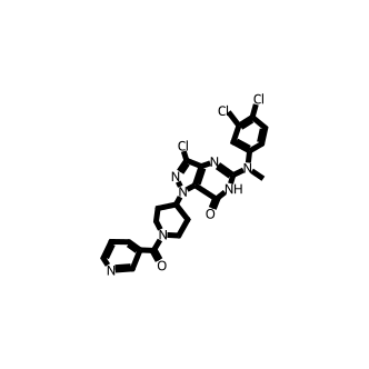 CN(c1ccc(Cl)c(Cl)c1)c1nc2c(Cl)nn(C3CCN(C(=O)c4cccnc4)CC3)c2c(=O)[nH]1